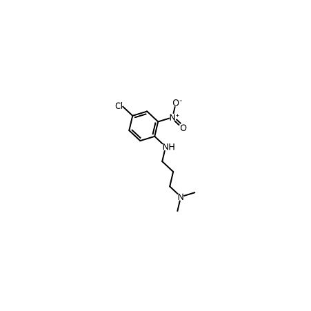 CN(C)CCCNc1ccc(Cl)cc1[N+](=O)[O-]